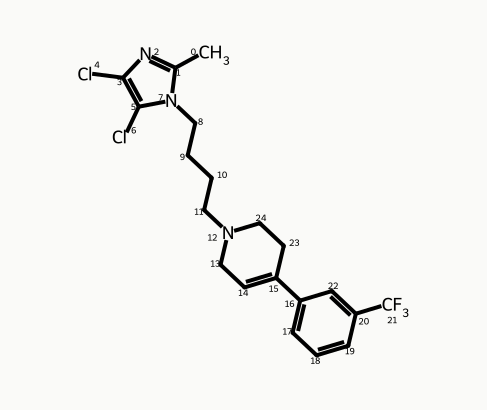 Cc1nc(Cl)c(Cl)n1CCCCN1CC=C(c2cccc(C(F)(F)F)c2)CC1